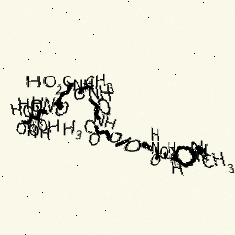 CC(NCC(=O)CN[C@@H](C)C(=O)N[C@@H](CCC(=O)NC[C@H](O)[C@@H](O)[C@H](O)[C@H](O)CO)C(=O)O)C(=O)CCOCCOCCNC(=O)OC[C@@H]1[C@@H]2CCc3nnn(C)c3CC[C@@H]21